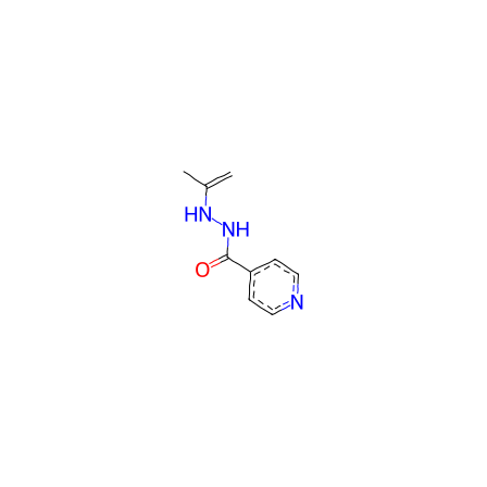 C=C(C)NNC(=O)c1ccncc1